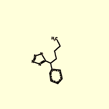 CCCCC(C1=NN=N[N]1)c1ccccc1